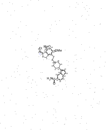 CC/N=C1/CCc2c(CCN3CCC(n4ccc5ccc(C(N)=O)cc54)CC3)c(OC)cc(OC)c21